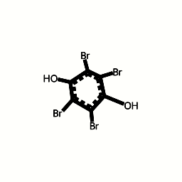 Oc1c(Br)c(Br)c(O)c(Br)c1Br